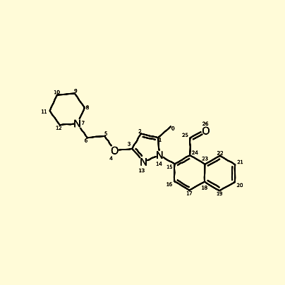 Cc1cc(OCCN2CCCCC2)nn1-c1ccc2ccccc2c1C=O